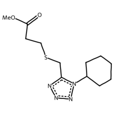 COC(=O)CCSCc1nnnn1C1CCCCC1